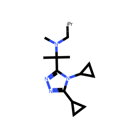 CC(C)CN(C)C(C)(C)c1nnc(C2CC2)n1C1CC1